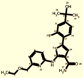 CCOCc1cccc(Nc2sc(-c3ccc(C(C)(C)O)cc3F)cc2C(N)=O)n1